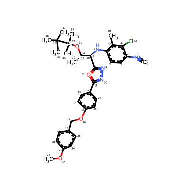 [C-]#[N+]c1ccc(N[C@@H](c2nnc(-c3ccc(OCc4ccc(OC)cc4)cc3)o2)[C@H](C)O[Si](C)(C)C(C)(C)C)c(C)c1Cl